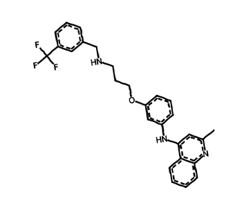 Cc1cc(Nc2cccc(OCCCNCc3cccc(C(F)(F)F)c3)c2)c2ccccc2n1